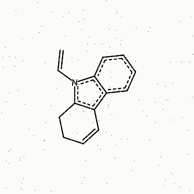 C=Cn1c2c(c3ccccc31)C=CCC2